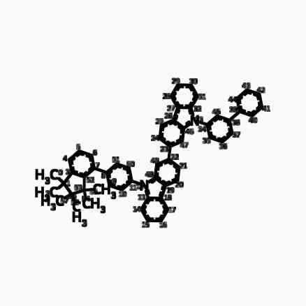 CC1(C)c2cccc(-c3ccc(-n4c5ccccc5c5ccc(-c6ccc7c8ccccc8n(-c8cccc(-c9ccccc9)c8)c7c6)cc54)cc3)c2C(C)(C)C1(C)C